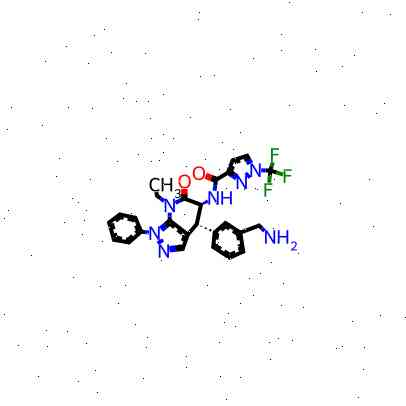 CCN1C(=O)[C@@H](NC(=O)c2ccn(C(F)(F)F)n2)[C@H](c2cccc(CN)c2)c2cnn(-c3ccccc3)c21